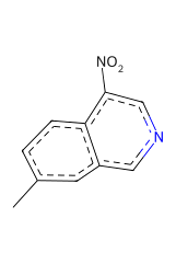 Cc1ccc2c([N+](=O)[O-])cncc2c1